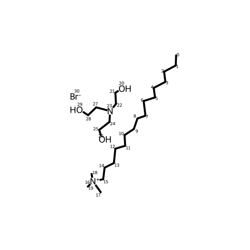 CCCCCCCCCCCCCCCC[N+](C)(C)C.OCCN(CCO)CCO.[Br-]